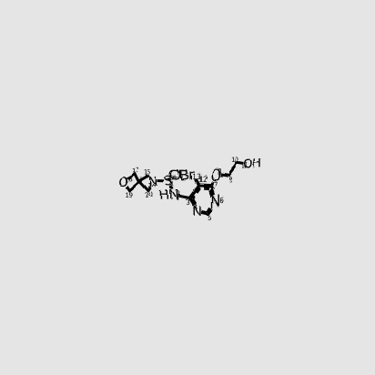 [O-][S+](Nc1ncnc(OCCO)c1Br)N1CC2(COC2)C1